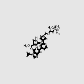 C[C@@H](Oc1nc(-c2ccnc(-c3cnn(COCC[Si](C)(C)C)c3)c2)cc2ncn(C3CC3)c12)C1CNC(=O)C1